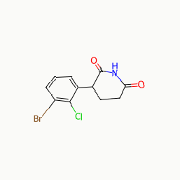 O=C1CCC(c2cccc(Br)c2Cl)C(=O)N1